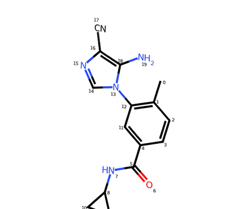 Cc1ccc(C(=O)NC2CC2)cc1-n1cnc(C#N)c1N